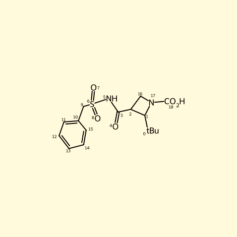 CC(C)(C)C1C(C(=O)NS(=O)(=O)Cc2ccccc2)CN1C(=O)O